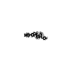 C[C@H](N(Cc1ccc(F)cc1)C(=O)CN1C(=O)O[C@@]2(CCc3cc(-c4cnc(N(C)C)nc4)ccc32)C1=O)C(F)(F)F